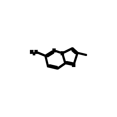 Cc1cn2nc(N)ccc2n1